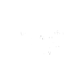 CC(C)(C)OC(=O)C(C#N)=C1C=CC(Br)=CN1